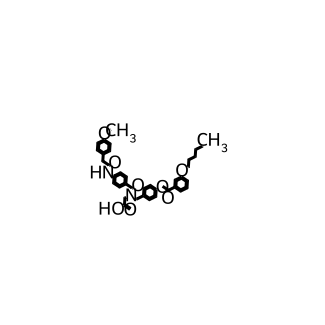 CCCCCCOc1cccc(C(=O)Oc2ccc(CN(CC(=O)O)C(=O)c3ccc(NC(=O)Cc4ccc(OC)cc4)cc3)cc2)c1